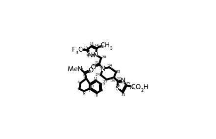 CNC(=O)C1CCCc2ccccc21.Cc1cc(C(F)(F)F)nn1CC(=O)N1CCC(c2nc(C(=O)O)cs2)CC1